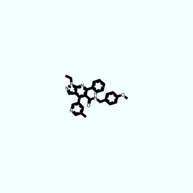 CCn1ncc2c(-c3cncc(C)c3)c(C(=O)NCc3ccc(OC)cc3)c(-c3ccccc3)nc21